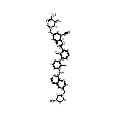 Cc1c(Nc2nccc3cc(CN4CC[C@@H](O)C4)cnc23)cccc1-c1cccc(-c2nc3cc(CN(C)CC(C)C(=O)O)cc(C#N)c3o2)c1C